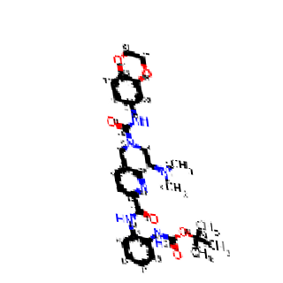 CN(C)CCN(Cc1ccc(C(=O)Nc2ccccc2NC(=O)OC(C)(C)C)nc1)C(=O)Nc1ccc2c(c1)OCCO2